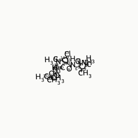 Cc1cc(C)c(CNC(=O)c2cc(Cl)cc(N(C)C3CN(C(=O)OC(C)(C)C)C3)c2C)c(=O)[nH]1